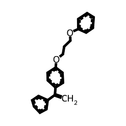 C=C(c1ccccc1)c1ccc(OCCCOc2ccccc2)cc1